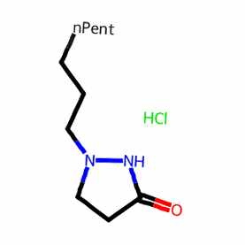 CCCCCCCCN1CCC(=O)N1.Cl